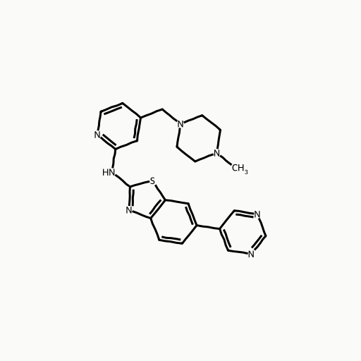 CN1CCN(Cc2ccnc(Nc3nc4ccc(-c5cncnc5)cc4s3)c2)CC1